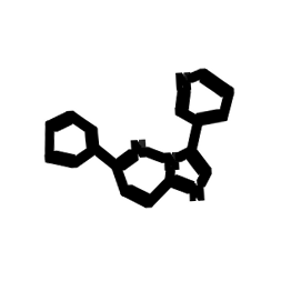 c1ccc(-c2ccc3ncc(-c4cccnc4)n3n2)cc1